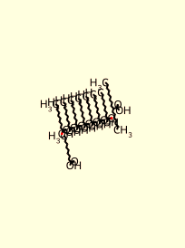 CCCCCCCCCC(=O)O.CCCCCCCCCC(=O)O.CCCCCCCCCC(=O)O.CCCCCCCCCC(=O)O.CCCCCCCCCC(=O)O.CCCCCCCCCC(=O)O.CCCCCCCCCC(=O)O.CCCCCCCCCC(=O)O.CCCCCCCCCC(CCCCCCC)C(=O)O